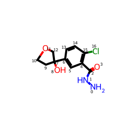 NNC(=O)c1cc(C2(O)CCOC2)ccc1Cl